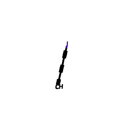 C#CC#CC#CI